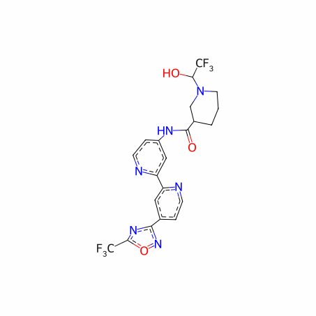 O=C(Nc1ccnc(-c2cc(-c3noc(C(F)(F)F)n3)ccn2)c1)C1CCCN(C(O)C(F)(F)F)C1